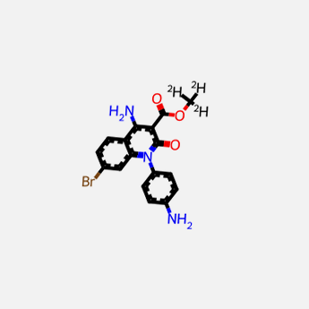 [2H]C([2H])([2H])OC(=O)c1c(N)c2ccc(Br)cc2n(-c2ccc(N)cc2)c1=O